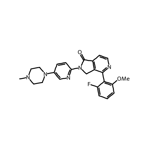 COc1cccc(F)c1-c1nccc2c1CN(c1ccc(N3CCN(C)CC3)cn1)C2=O